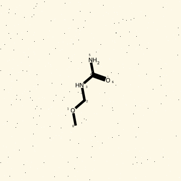 COCNC(N)=O